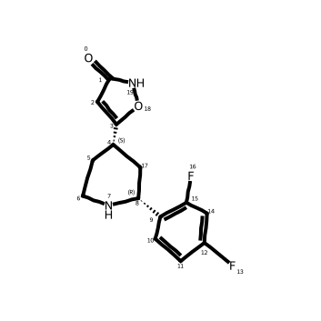 O=c1cc([C@H]2CCN[C@@H](c3ccc(F)cc3F)C2)o[nH]1